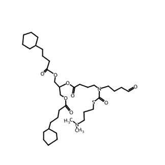 CN(C)CCCSC(=O)N(CCCC=O)CCCC(=O)OC(COC(=O)CCCC1CCCCC1)COC(=O)CCCC1CCCCC1